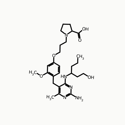 CCCC(CCO)Nc1nc(N)nc(C)c1Cc1ccc(OCCCN2CCCC2C(=O)O)cc1OC